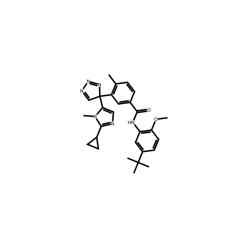 COc1ccc(C(C)(C)C)cc1NC(=O)c1ccc(C)c(C2(c3cnc(C4CC4)n3C)C=NN=N2)c1